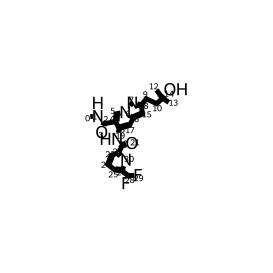 CNC(=O)c1cn2nc(CCC(C)(C)O)cc2cc1NC(=O)c1cccc(C(F)F)n1